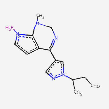 CC(CC=O)n1cc(C2=NCN(C)c3c2ccn3P)cn1